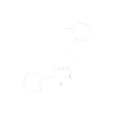 Cc1ccccc1CSc1nnc(-c2ccccc2)o1